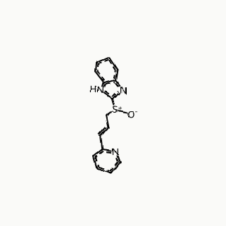 [O-][S+](CC=Cc1ccccn1)c1nc2ccccc2[nH]1